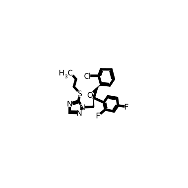 CCCSc1ncnn1C[C@@]1(c2ccc(F)cc2F)O[C@@H]1c1ccccc1Cl